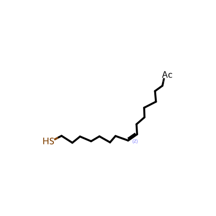 CC(=O)CCCCCC/C=C\CCCCCCCS